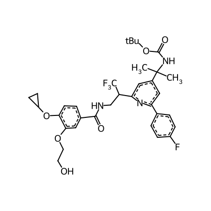 CC(C)(C)OC(=O)NC(C)(C)c1cc(-c2ccc(F)cc2)nc(C(CNC(=O)c2ccc(OC3CC3)c(OCCO)c2)C(F)(F)F)c1